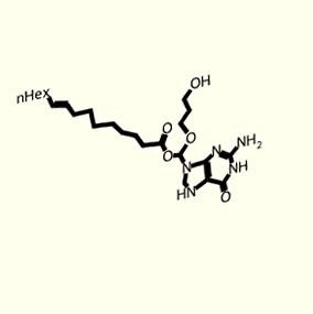 CCCCCCC=CCCCCCCCC(=O)OC(OCCCO)N1CNc2c1nc(N)[nH]c2=O